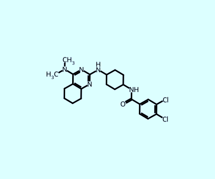 CN(C)c1nc(NC2CCC(NC(=O)c3ccc(Cl)c(Cl)c3)CC2)nc2c1CCCC2